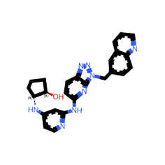 O[C@@H]1CCC[C@H]1Nc1ccnc(Nc2ccc3nnn(Cc4ccc5ncccc5c4)c3n2)c1